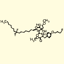 CCCCCCCC(F)(F)CCCCCCC=C[C@H](C(=O)N[C@@H](Cc1ccc(OCCCF)cc1)C(=O)OC)[C@@](O)(CCOC)C(=O)O